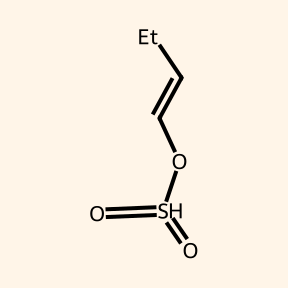 CCC=CO[SH](=O)=O